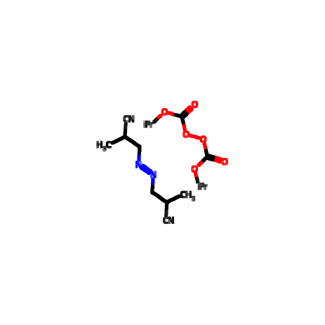 CC(C#N)CN=NCC(C)C#N.CC(C)OC(=O)OOC(=O)OC(C)C